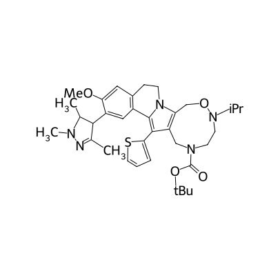 COc1cc2c(cc1C1C(C)=NN(C)C1C)-c1c(-c3cccs3)c3c(n1CC2)CON(C(C)C)CCN(C(=O)OC(C)(C)C)C3